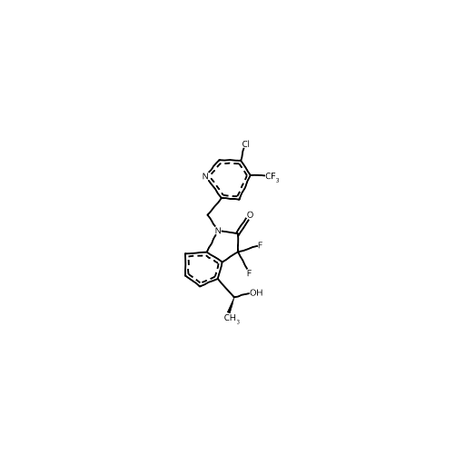 C[C@H](O)c1cccc2c1C(F)(F)C(=O)N2Cc1cc(C(F)(F)F)c(Cl)cn1